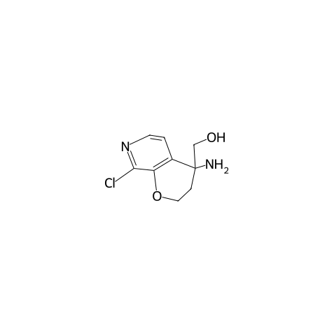 NC1(CO)CCOc2c1ccnc2Cl